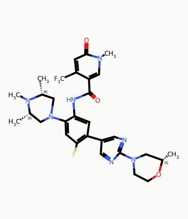 C[C@@H]1CN(c2cc(F)c(-c3cnc(N4CCO[C@@H](C)C4)nc3)cc2NC(=O)c2cn(C)c(=O)cc2C(F)(F)F)C[C@H](C)N1C